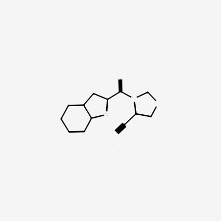 Cl.N#CC1CSCN1C(=O)C1CC2CCCCC2N1